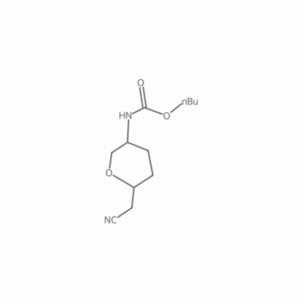 CCCCOC(=O)NC1CCC(CC#N)OC1